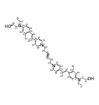 CCN(CCO)c1ccc(/C=C(\C)c2cc[n+](CCSSCC[n+]3ccc(/C(C)=C/c4ccc(N(CC)CCO)cc4C)cc3)cc2)c(C)c1